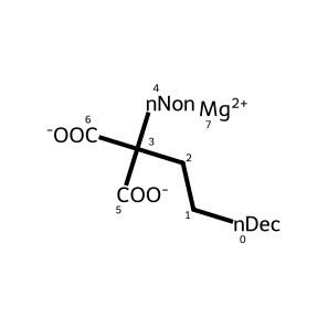 CCCCCCCCCCCCC(CCCCCCCCC)(C(=O)[O-])C(=O)[O-].[Mg+2]